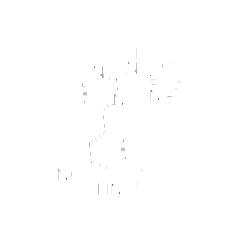 Cc1coc(Nc2nccc(-c3cc(C#N)c4c(c3)CCN4)n2)n1